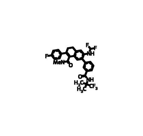 CNC(=O)C1=C(c2ccc(F)cc2)CCc2cc(NC(F)F)c(-c3cccc(C(=O)NC(C)(C)C(F)(F)F)c3)cc21